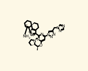 C[C@H](Oc1cc(-n2cc(Cn3cncn3)nn2)nc(-c2noc3c2CCC[C@@]32CCCc3sc(N)c(C#N)c32)n1)[C@@H]1CCCN1C